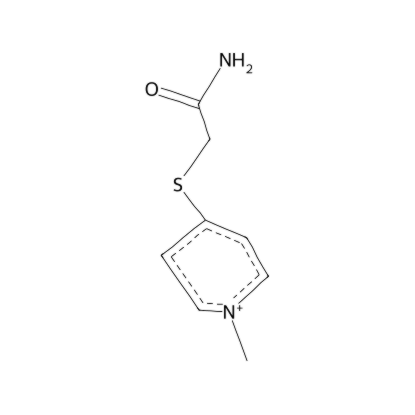 C[n+]1ccc(SCC(N)=O)cc1